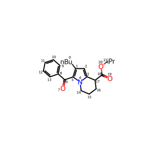 CCCCc1cc2n(c1C(=O)c1ccccc1)CCCC2C(=O)OC(C)C